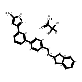 Nc1cc(-c2cccc(-c3ccc(CNC4Cc5ccccc5C4)cc3)c2)no1.O=C(O)C(F)(F)F